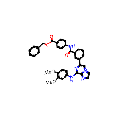 COc1ccc(Nc2nc(-c3cccc(C(=O)Nc4ccc(C(=O)OCc5ccccc5)cc4)c3)cn3ccnc23)cc1OC